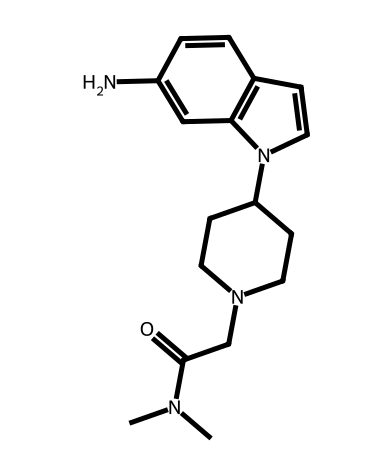 CN(C)C(=O)CN1CCC(n2ccc3ccc(N)cc32)CC1